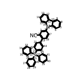 N#Cc1cc(-n2c3ccccc3c3ccccc32)ccc1-c1ccc([Si](c2ccccc2)(c2ccccc2)c2ccccc2)cc1